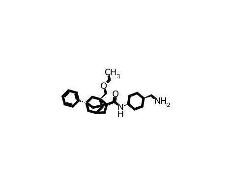 CCOC[C@]12CC3CC1(C(=O)N[C@H]1CC[C@H](CN)CC1)C[C@@](c1ccccc1)(C3)C2